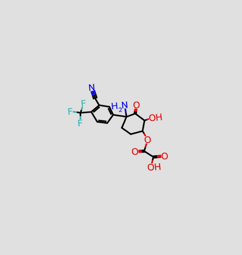 N#Cc1cc(C2(N)CCC(OC(=O)C(=O)O)C(O)C2=O)ccc1C(F)(F)F